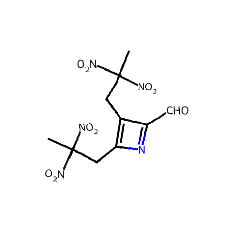 CC(CC1=C(CC(C)([N+](=O)[O-])[N+](=O)[O-])C(C=O)=N1)([N+](=O)[O-])[N+](=O)[O-]